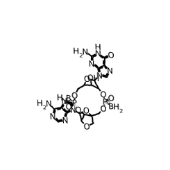 B[P@@]1(=O)OCC23COC(C(n4cnc5c(N)ncnc54)O2)C3O[P@](B)(=O)OCC2OC(n3cnc4c(=O)[nH]c(N)nc43)C(O1)C2O